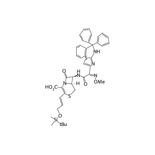 CO/N=C(\C(=O)N[C@@H]1C(=O)N2C(C(=O)O)=C(C=CCO[Si](C)(C)C(C)(C)C)SC[C@H]12)c1csc(NC(c2ccccc2)(c2ccccc2)c2ccccc2)n1